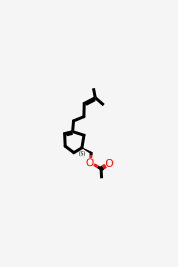 CC(=O)OC[C@H]1CCC=C(CCC=C(C)C)C1